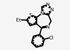 CCc1cc2c(s1)-n1cnnc1CN=C2c1ccccc1Cl